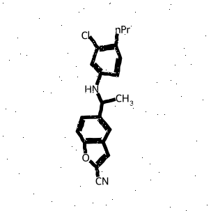 CCCc1ccc(NC(C)c2ccc3oc(C#N)cc3c2)cc1Cl